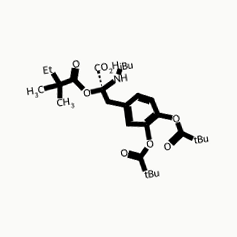 CCC(C)N[C@@](Cc1ccc(OC(=O)C(C)(C)C)c(OC(=O)C(C)(C)C)c1)(OC(=O)C(C)(C)CC)C(=O)O